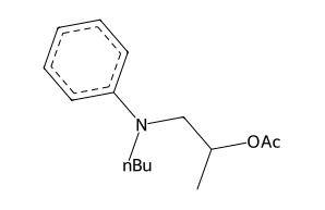 CCCCN(CC(C)OC(C)=O)c1ccccc1